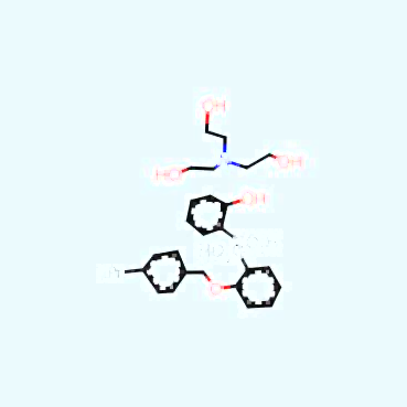 CC(C)c1ccc(COc2ccccc2C(=O)O)cc1.O=C(O)c1ccccc1O.OCCN(CCO)CCO